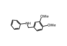 COc1ccc(CNc2ccccc2)cc1OC